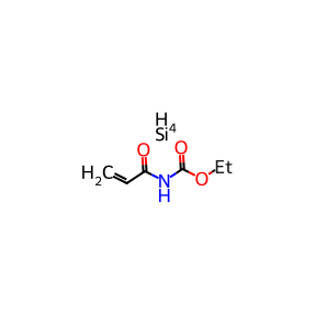 C=CC(=O)NC(=O)OCC.[SiH4]